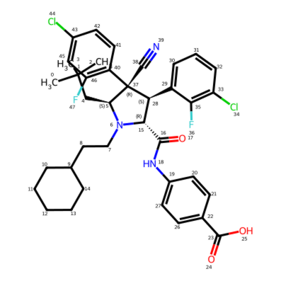 CC(C)(C)C[C@@H]1N(CCC2CCCCC2)[C@@H](C(=O)Nc2ccc(C(=O)O)cc2)[C@H](c2cccc(Cl)c2F)[C@@]1(C#N)c1ccc(Cl)cc1F